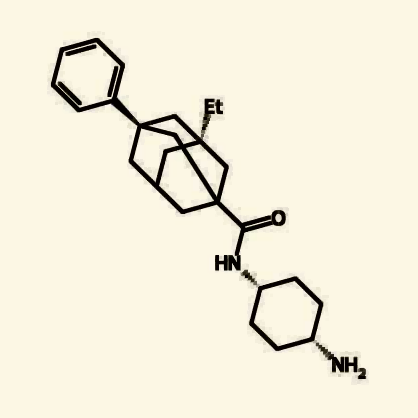 CC[C@@]12CC3CC(C(=O)N[C@H]4CC[C@@H](N)CC4)(C1)C[C@](c1ccccc1)(C3)C2